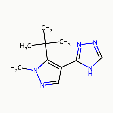 Cn1ncc(-c2nnc[nH]2)c1C(C)(C)C